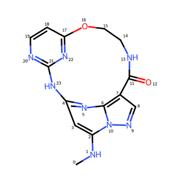 CNc1cc2nc3c(cnn13)C(=O)NCCOc1ccnc(n1)N2